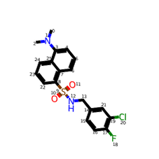 CN(C)c1cccc2c(S(=O)(=O)NCc3ccc(F)c(Cl)c3)cccc12